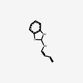 C=C/C=C\NC1Nc2ccccc2O1